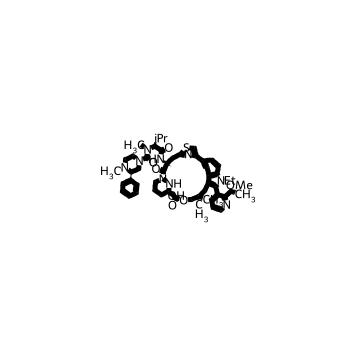 CCn1c(-c2cccnc2[C@H](C)OC)c2c3cc(ccc31)-c1csc(n1)C[C@H](NC(=O)[C@H](C(C)C)N(C)C(=O)N1CCN(C)[C@@H](c3ccccc3)C1)C(=O)N1CCC[C@@](O)(N1)C(=O)OCC(C)(C)C2